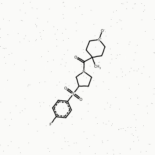 CC1(C(=O)N2CCC(S(=O)(=O)c3ccc(F)cc3)C2)CC[S+]([O-])CC1